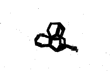 O=C1CC=C2N([N+](=O)[O-])C3=C(CCC=C3)C23C=CC=CNC13